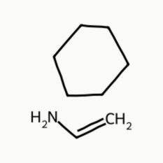 C1CCCCC1.C=CN